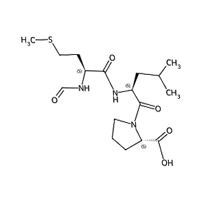 CSCC[C@H](NC=O)C(=O)N[C@@H](CC(C)C)C(=O)N1CCC[C@H]1C(=O)O